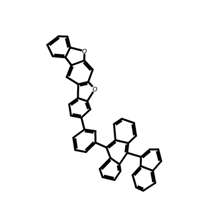 c1cc(-c2ccc3c(c2)oc2cc4oc5ccccc5c4cc23)cc(-c2c3ccccc3c(-c3cccc4ccccc34)c3ccccc23)c1